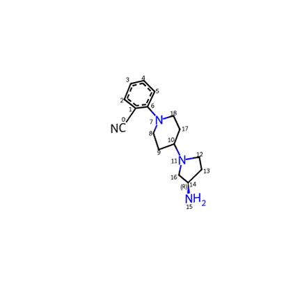 N#Cc1ccccc1N1CCC(N2CC[C@@H](N)C2)CC1